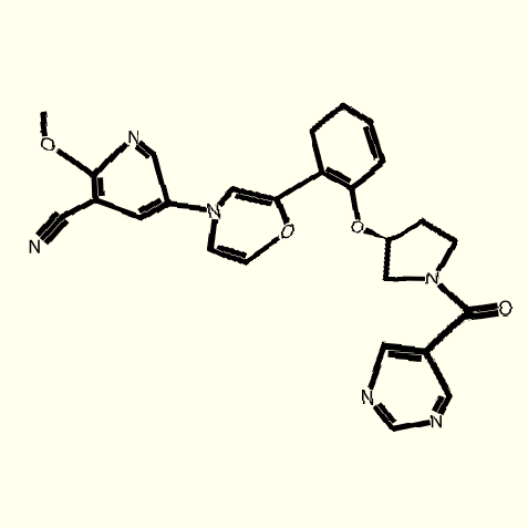 COc1ncc(N2C=COC(C3=C(O[C@H]4CCN(C(=O)c5cncnc5)C4)C=CCC3)=C2)cc1C#N